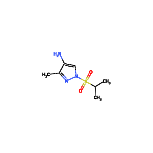 Cc1nn(S(=O)(=O)C(C)C)cc1N